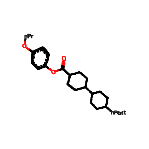 CCCCCC1CCC(C2CCC(C(=O)Oc3ccc(OCCC)cc3)CC2)CC1